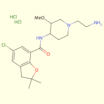 COC1CN(CCN)CCC1NC(=O)c1cc(Cl)cc2c1OC(C)(C)C2.Cl.Cl